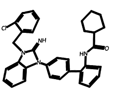 N=c1n(Cc2ccccc2Cl)c2ccccc2n1-c1ccc(-c2ccccc2NC(=O)C2CCCCC2)cc1